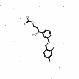 NC(=O)OCCC(O)c1cccc(OCc2ccc(Cl)cc2F)n1